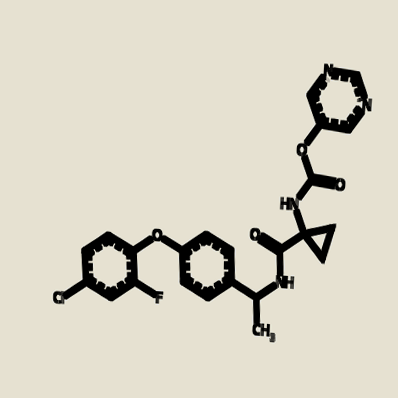 CC(NC(=O)C1(NC(=O)Oc2cncnc2)CC1)c1ccc(Oc2ccc(Cl)cc2F)cc1